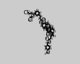 COc1ccc(COC(=O)CC[C@@H](C)[C@H]2CC[C@H]3[C@@H]4CC[C@@H]5C[C@H](OC(=O)CCc6cccc(N(CCCl)CCCl)c6)CC[C@]5(C)[C@H]4C[C@H](O)[C@]23C)cc1